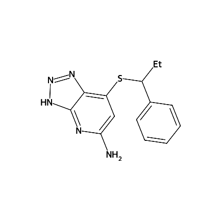 CCC(Sc1cc(N)nc2[nH]nnc12)c1ccccc1